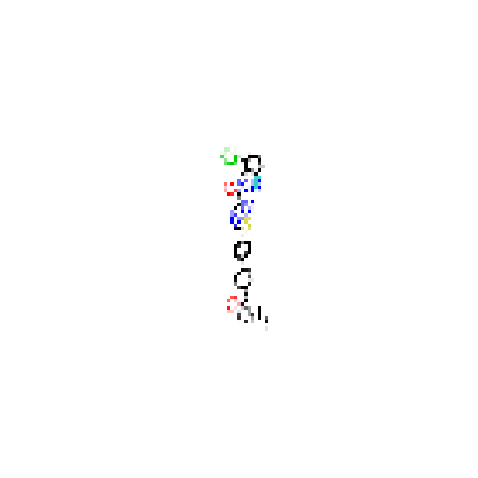 CC(=O)C[C@H]1CC[C@H](c2ccc(-c3cn4cc(C(=O)NCc5c(F)cccc5Cl)nc4s3)cc2)CC1